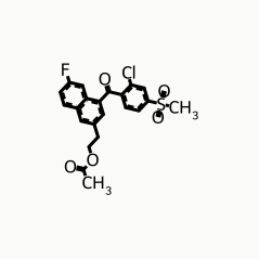 CC(=O)OCCc1cc(C(=O)c2ccc(S(C)(=O)=O)cc2Cl)c2cc(F)ccc2c1